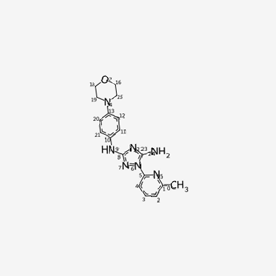 Cc1cccc(-n2nc(Nc3ccc(N4CCOCC4)cc3)nc2N)n1